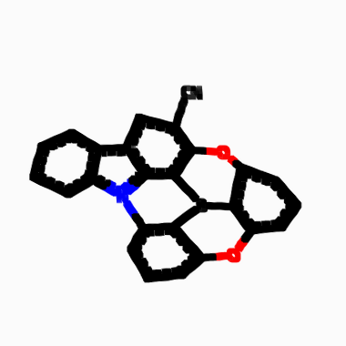 N#Cc1cc2c3ccccc3n3c2c2c1Oc1cccc4c1B2c1c(cccc1-3)O4